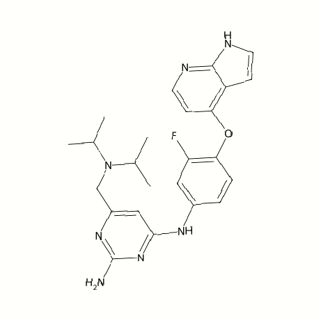 CC(C)N(Cc1cc(Nc2ccc(Oc3ccnc4[nH]ccc34)c(F)c2)nc(N)n1)C(C)C